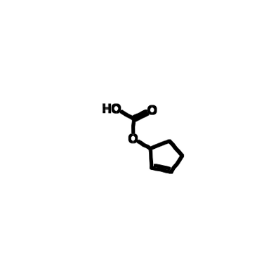 O=C(O)OC1C=CCC1